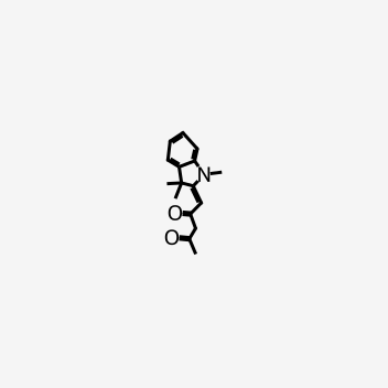 CC(=O)CC(=O)/C=C1/N(C)c2ccccc2C1(C)C